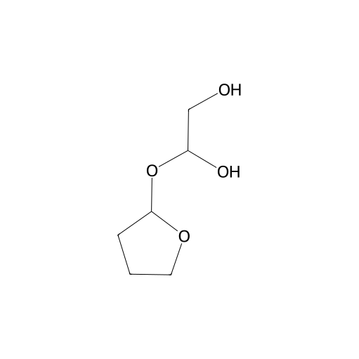 OCC(O)OC1CCCO1